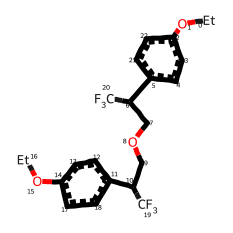 CCOc1ccc(C(COCC(c2ccc(OCC)cc2)C(F)(F)F)C(F)(F)F)cc1